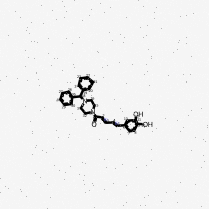 O=C(/C=C/C=C/c1ccc(O)c(O)c1)N1CCN(C(c2ccccc2)c2ccccc2)CC1